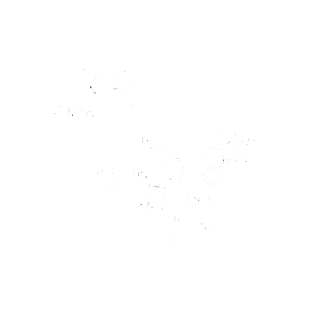 CN1CC[C@H]2CC[C@@H](C(=O)NC(CCC(N)=O)C(=O)NC(CC(=O)N3CCC(C#Cc4cccc5c4CN(C4CCC(=O)NC4=O)C5=O)CC3)c3ccccc3)N2C(=O)[C@@H](NC(=O)c2cc3cc(C(F)(F)P(=O)(O)O)ccc3s2)C1